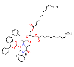 CCCCCCCC/C=C\CCCCCCCC(=O)OCC(COC(=O)CCCCCCC/C=C\CCCCCCCC)OC(=O)[C@H](CCc1ccccc1)N[C@@H](C)C(=O)N1[C@@H](OC(=O)OC(c2ccccc2)c2ccccc2)C[C@@H]2CCCC[C@@H]21